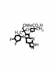 COCC(C)(C)c1c([C@H]2C[C@](C)(C(=O)O)C2)c2nc3[nH]ncc3cc2n1-c1ccc(F)c(F)c1